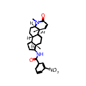 CN1C(=O)C=C[C@]2(C)[C@H]3CC[C@]4(C)C(NC(=O)c5cccc([N+](=O)[O-])c5)CC[C@H]4[C@@H]3CC[C@@H]12